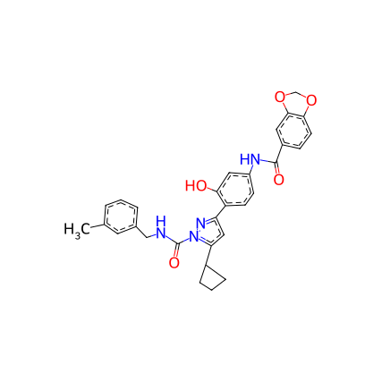 Cc1cccc(CNC(=O)n2nc(-c3ccc(NC(=O)c4ccc5c(c4)OCO5)cc3O)cc2C2CCC2)c1